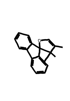 CC1=COC2(c3ccccc3-c3ccccc32)C1(C)C